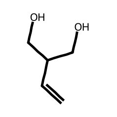 C=CC(CO)CO